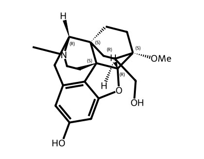 CO[C@@]12CC[C@@]3(C[C@@H]1CO)[C@H]1Cc4cc(O)cc5c4[C@@]3(CCN1C)[C@H]2O5